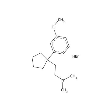 Br.COc1cccc(C2(CCN(C)C)CCCC2)c1